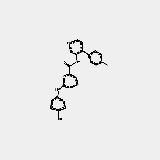 N#Cc1ccc(Nc2nccc(C(=O)Nc3cnccc3-c3ccc(F)cc3)n2)cc1